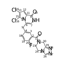 O=C(c1cc(Cc2c[nH]c(=O)c3cc(Cl)c(Cl)n23)ccc1F)N1CCn2cnnc2C1